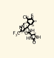 Cn1nc(C(F)(F)F)cc1[C@H](NC(=O)C1CNC(=O)N1)c1ccc(F)c(Cl)c1